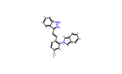 Clc1ccc(C=Cc2n[nH]c3ccccc23)c(-n2cc3ccccc3c2)c1